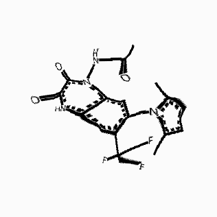 CC(=O)Nn1c(=O)c(=O)[nH]c2cc(C(F)(F)F)c(-n3c(C)ccc3C)cc21